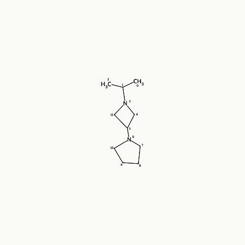 CC(C)N1CC(N2CCCC2)C1